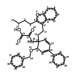 CCCCc1oc2ccccc2c1CCC1(NC(=O)C(=O)O)C=CC(c2ccccc2)=CC1OCc1ccccc1